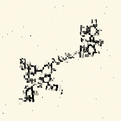 COc1ccc(CCN(CCOCCOCCNc2cccc3c2C(=O)N(C2CCC(=O)NC2=O)C3=O)Cc2ccc(OCc3ccc(Cl)nc3)c(OC)c2)cc1OC